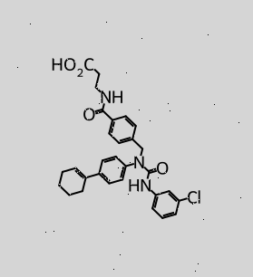 O=C(O)CCNC(=O)c1ccc(CN(C(=O)Nc2cccc(Cl)c2)c2ccc(C3=CCCCC3)cc2)cc1